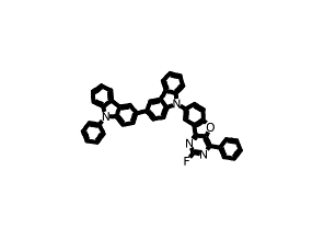 Fc1nc(-c2ccccc2)c2oc3ccc(-n4c5ccccc5c5cc(-c6ccc7c(c6)c6ccccc6n7-c6ccccc6)ccc54)cc3c2n1